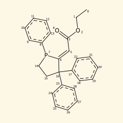 CCOC(=O)/C=C1\P(c2ccccc2)CCC1(c1ccccc1)c1ccccc1